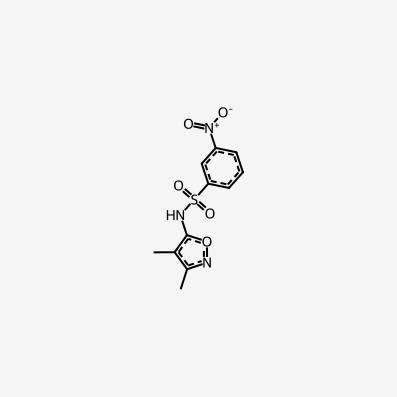 Cc1noc(NS(=O)(=O)c2cccc([N+](=O)[O-])c2)c1C